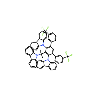 CC(C)(c1c(-n2c3ccccc3c3ccccc32)c(-c2cccc(C(F)(F)F)c2)cc(-c2cccc(C(F)(F)F)c2)c1-n1c2ccccc2c2ccccc21)n1c2ccccc2c2ccccc21